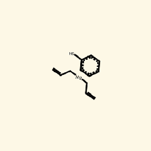 C=C[CH2][Mg][CH2]C=C.Sc1ccccc1